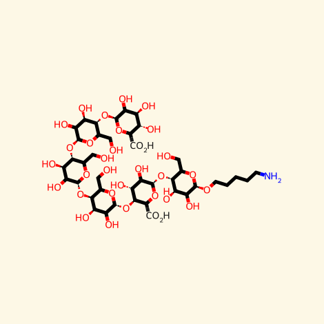 NCCCCCO[C@@H]1OC(CO)[C@@H](O[C@@H]2OC(C(=O)O)[C@@H](O[C@H]3OC(CO)[C@H](O[C@H]4OC(CO)[C@@H](O[C@@H]5OC(CO)[C@@H](O[C@@H]6OC(C(=O)O)[C@@H](O)[C@H](O)C6O)[C@H](O)C5O)[C@H](O)C4O)[C@H](O)C3O)[C@H](O)C2O)[C@H](O)C1O